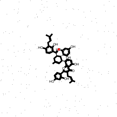 CC(C)=CCc1c(O)ccc(C(=O)[C@@H]2CC(C)=C[C@H](c3c(O)cc(O)c4c(=O)c(CC=C(C)C)c(-c5ccc(O)cc5O)oc34)[C@H]2c2ccc(O)cc2O)c1O